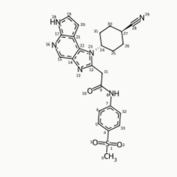 CS(=O)(=O)c1ccc(NC(=O)Cc2nc3cnc4[nH]ccc4c3n2[C@H]2CC[C@H](C#N)CC2)cc1